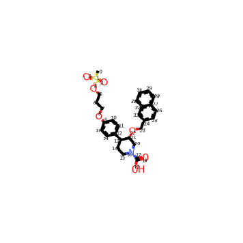 CS(=O)(=O)OCCCOc1ccc(C2CCN(C(=O)O)CC2OCc2ccc3ccccc3c2)cc1